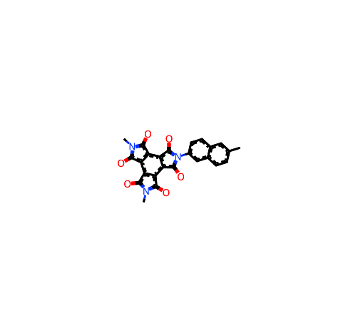 Cc1ccc2cc(-n3c(=O)c4c5c(=O)n(C)c(=O)c5c5c(=O)n(C)c(=O)c5c4c3=O)ccc2c1